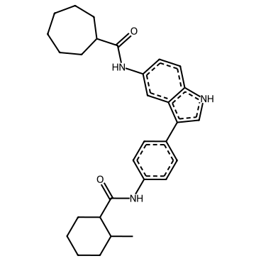 CC1CCCCC1C(=O)Nc1ccc(-c2c[nH]c3ccc(NC(=O)C4CCCCCC4)cc23)cc1